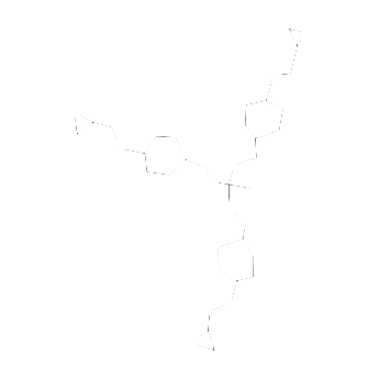 CC(OCC1CCC(OCC2CO2)CC1)(OCC1CCC(OCC2CO2)CC1)OCC1CCC(OCC2CO2)CC1